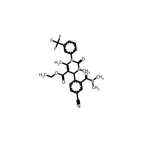 CCOC(=O)C1=C(C)N(c2cccc(C(F)(F)F)c2)C(=O)N(C)C1c1ccc(C#N)cc1C(=O)N(C)C